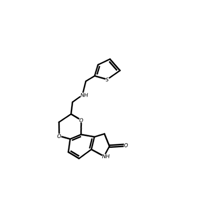 O=C1Cc2c(ccc3c2OC(CNCc2cccs2)CO3)N1